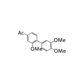 COc1ccc(-c2ccc(C(C)=O)cc2OC)cc1OC